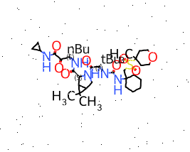 CCCC[C@H](NC(=O)[C@@H]1C2C(CN1C(=O)[C@@H](NC(=O)NC1(CS(=O)(=O)C3(C)CCOCC3)CCCCC1)C(C)(C)C)C2(C)C)C(=O)C(=O)NC1CC1